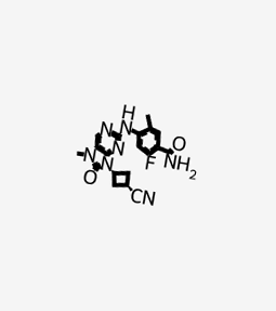 Cc1cc(C(N)=O)c(F)cc1Nc1ncc2c(n1)n([C@H]1C[C@H](C#N)C1)c(=O)n2C